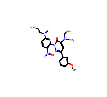 CCN(C)c1cc(-c2cccc(OC)c2)nn(-c2cc(N(C)CCO)ccc2[N+](=O)[O-])c1=O